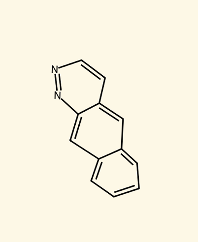 c1ccc2cc3nnccc3cc2c1